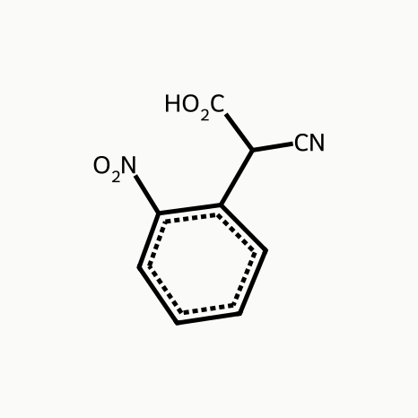 N#CC(C(=O)O)c1ccccc1[N+](=O)[O-]